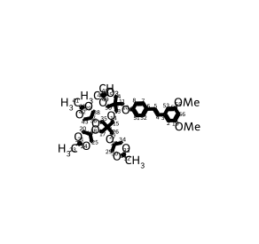 COc1cc(/C=C/c2ccc(OCC3(COCC(COC4COC(C)OC4)(COC4COC(C)OC4)COC4COC(C)OC4)COC(C)(C)OC3)cc2)cc(OC)c1